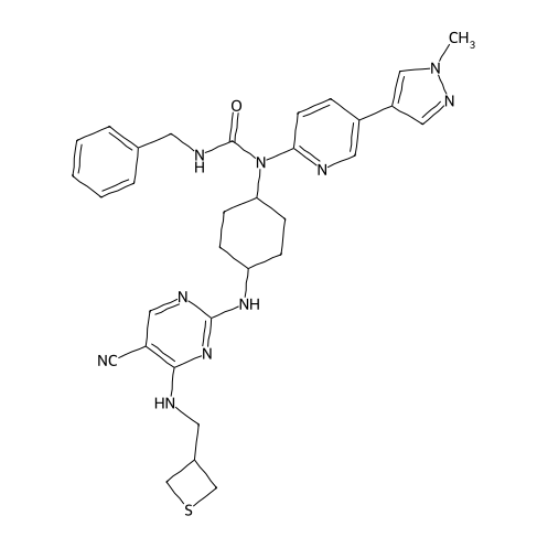 Cn1cc(-c2ccc(N(C(=O)NCc3ccccc3)C3CCC(Nc4ncc(C#N)c(NCC5CSC5)n4)CC3)nc2)cn1